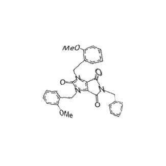 COc1ccccc1Cn1c2c(n(Cc3ccccc3OC)c1=O)C(=O)N(Cc1ccccc1)C2=O